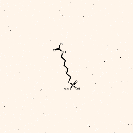 COP(=O)(O)OCCCCCCNC(=O)C(C)C